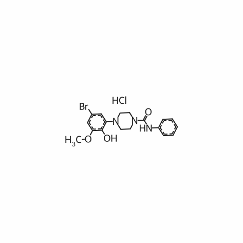 COc1cc(Br)cc(N2CCN(C(=O)Nc3ccccc3)CC2)c1O.Cl